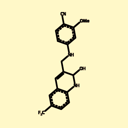 COc1cc(NCC2=Cc3cc(C(F)(F)F)ccc3NC2O)ccc1C#N